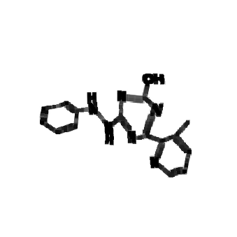 Cc1cccnc1-c1nc(O)nc(NNc2ccccc2)n1